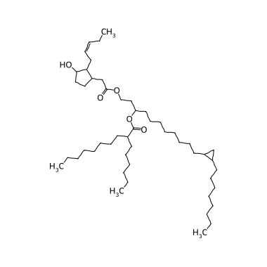 CC/C=C\CC1C(O)CCC1CC(=O)OCCC(CCCCCCCCC1CC1CCCCCCCC)OC(=O)C(CCCCCC)CCCCCCCC